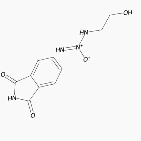 N=[N+]([O-])NCCO.O=C1NC(=O)c2ccccc21